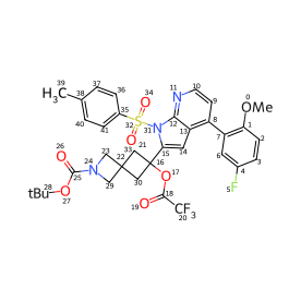 COc1ccc(F)cc1-c1ccnc2c1cc(C1(OC(=O)C(F)(F)F)CC3(CN(C(=O)OC(C)(C)C)C3)C1)n2S(=O)(=O)c1ccc(C)cc1